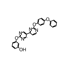 Oc1cccc(Oc2n[c]c(-c3ccnc(Oc4ccc(Oc5ccccc5)cc4)n3)cn2)c1